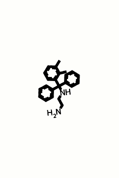 Cc1cccc(C(NCCN)(c2ccccc2)c2ccccc2)c1C